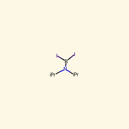 CC(C)N(B(I)I)C(C)C